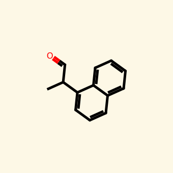 CC(C=O)c1cccc2ccccc12